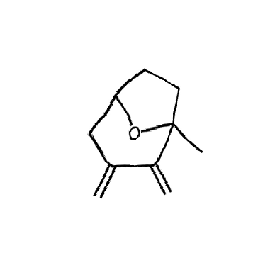 C=C1CC2CCC(C)(O2)C1=C